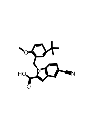 COc1ccc(C(C)(C)C)cc1Cn1c(C(=O)O)cc2cc(C#N)ccc21